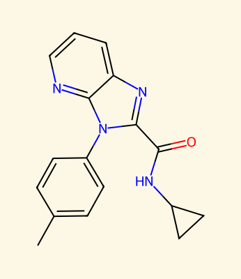 Cc1ccc(-n2c(C(=O)NC3CC3)nc3cccnc32)cc1